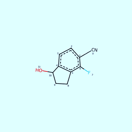 N#Cc1ccc2c(c1F)CCC2O